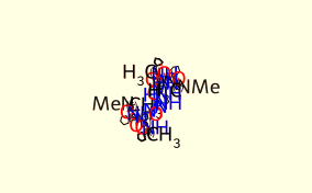 CN[C@@H](C)C(=O)N[C@H](C(=O)N1C[C@@H](NC(=O)c2cc(C(=O)N[C@H]3C[C@@H](C(=O)N[C@H](C)c4ccccc4)N(C(=O)[C@@H](NC(=O)[C@H](C)NC)C4CCCCC4)C3)[nH]n2)C[C@H]1C(=O)N[C@H](C)c1ccccc1)C1CCCCC1